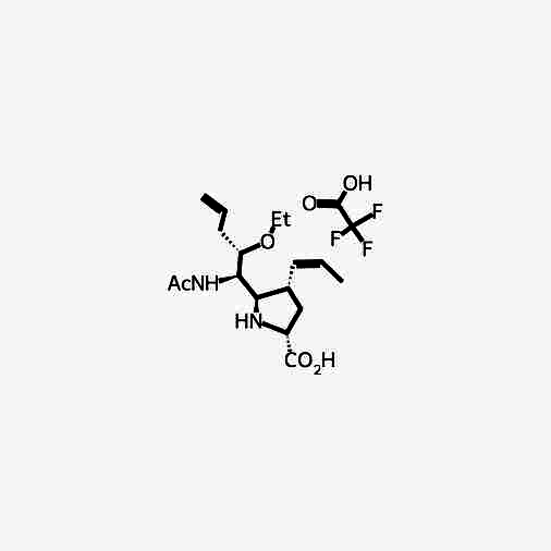 C=CC[C@H](OCC)[C@H](NC(C)=O)[C@@H]1N[C@@H](C(=O)O)C[C@H]1/C=C\C.O=C(O)C(F)(F)F